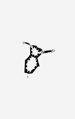 CCn1c[n+](CC)c2ccccc21.[I-]